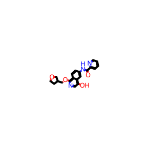 O=C(Nc1ccc2c(OCC3CCOC3)ncc(O)c2c1)c1ccccn1